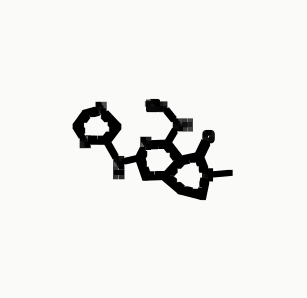 Cn1ccc2cc(Nc3cnccn3)nc(NC(C)(C)C)c2c1=O